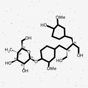 COC1CC(C[C@@H](CO)[C@H](CO)CC2CCC(O[C@@H]3O[C@H](CO)[C@@H](C)[C@H](O)[C@H]3O)C(OC)C2)CCC1O